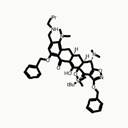 CC(C)CNCc1cc(OCc2ccccc2)c2c(c1N(C)C)C[C@H]1C[C@H]3[C@H](N(C)C)c4onc(OCc5ccccc5)c4C(=O)C3(O[Si](C)(C)C(C)(C)C)C(O)=C1C2=O